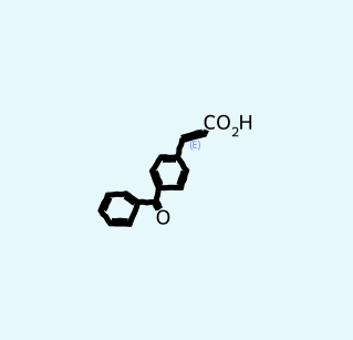 O=C(O)/C=C/c1ccc(C(=O)c2ccccc2)cc1